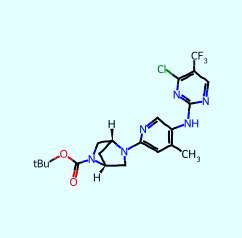 Cc1cc(N2C[C@H]3C[C@@H]2CN3C(=O)OC(C)(C)C)ncc1Nc1ncc(C(F)(F)F)c(Cl)n1